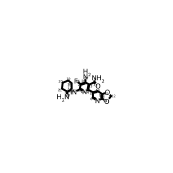 NC(=O)c1c(-c2cnc3c(c2)OCO3)nc(NC2CCCCC2N)c(F)c1N